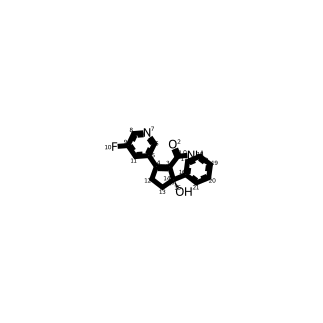 NC(=O)C1=C(c2cncc(F)c2)CC[C@]1(O)c1ccccc1